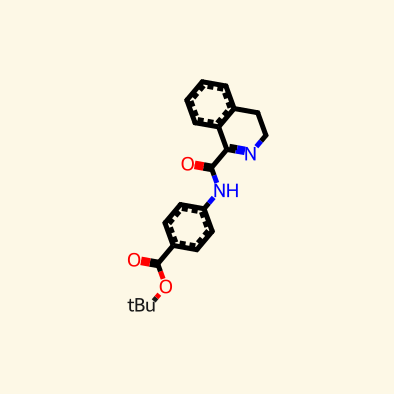 CC(C)(C)OC(=O)c1ccc(NC(=O)C2=NCCc3ccccc32)cc1